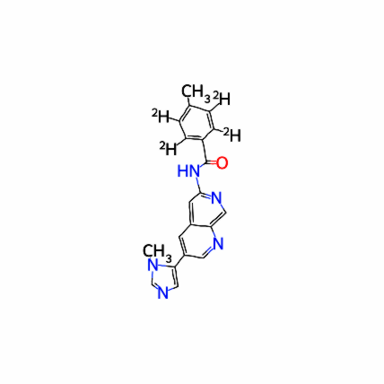 [2H]c1c([2H])c(C(=O)Nc2cc3cc(-c4cncn4C)cnc3cn2)c([2H])c([2H])c1C